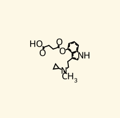 CN(CCc1c[nH]c2cccc(OC(=O)CCC(=O)O)c12)C1CC1